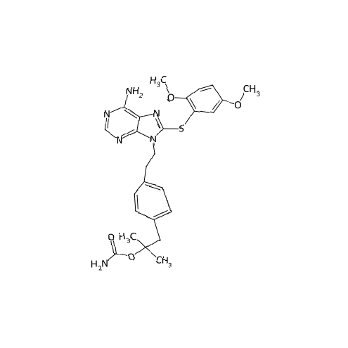 COc1ccc(OC)c(Sc2nc3c(N)ncnc3n2CCc2ccc(CC(C)(C)OC(N)=O)cc2)c1